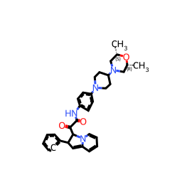 C[C@@H]1CN(C2CCN(c3ccc(NC(=O)C(=O)C4C(c5ccccc5)C=C5C=CC=CN54)cc3)CC2)C[C@H](C)O1